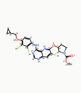 CC(C)(C)OC(=O)N1CC[C@H](Oc2nc3c(Nc4ccc(OCC5CC5)c(F)c4F)ncnc3cc2F)C1